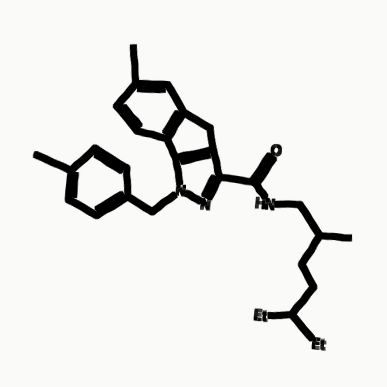 CCC(CC)CCC(C)CNC(=O)c1nn(Cc2ccc(C)cc2)c2c1Cc1cc(C)ccc1-2